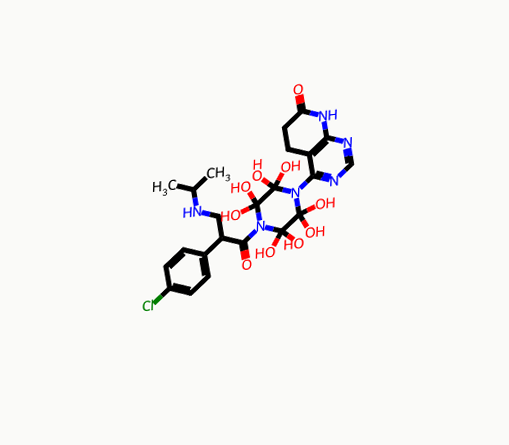 CC(C)NCC(C(=O)N1C(O)(O)C(O)(O)N(c2ncnc3c2CCC(=O)N3)C(O)(O)C1(O)O)c1ccc(Cl)cc1